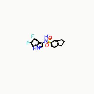 O=S(=O)(Nc1c[nH]c2cc(F)c(F)cc12)c1ccc2c(c1)CCC2